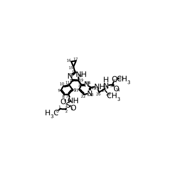 CCCS(=O)(=O)Nc1cccc(-c2nc(C3CC3)[nH]c2-c2ccnc(NC[C@H](C)NC(=O)OC)n2)c1